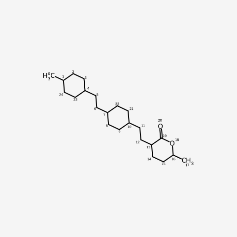 CC1CCC(CCC2CCC(CCC3CCC(C)OC3=O)CC2)CC1